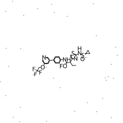 CCC(C(=O)Nc1ccc(-c2cncc(OCC(F)(F)F)c2)cc1F)c1csc(N[S+]([O-])C2CC2)n1